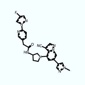 Cn1cc(-c2cc(N3CCC(NC(=O)Cc4ccc(-n5cc(F)cn5)nc4)C3)c3c(C#N)cnn3c2)cn1